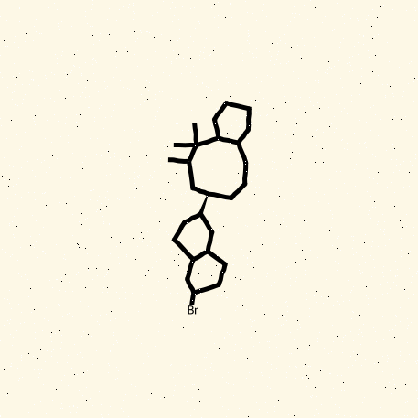 CC1C[C@H](C2CCC3CC(Br)CCC3C2)CCCC2CCCCC2C1(C)C